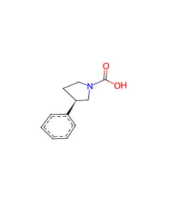 O=C(O)N1CC[C@H](c2ccccc2)C1